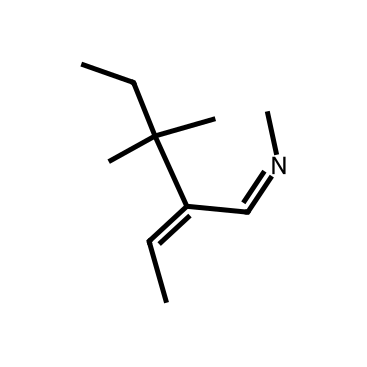 C/C=C(\C=N/C)C(C)(C)CC